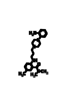 Cc1ccc(NCCCN2CCN(c3ccccc3N)CC2)c(C(=O)N(C)C)c1